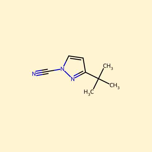 CC(C)(C)c1ccn(C#N)n1